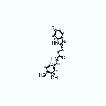 O=C(CSc1nc2ccc(F)cc2[nH]1)NCc1ccc(O)c(O)c1